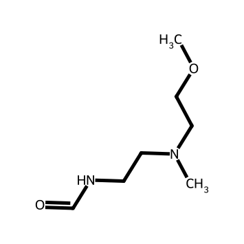 COCCN(C)CCNC=O